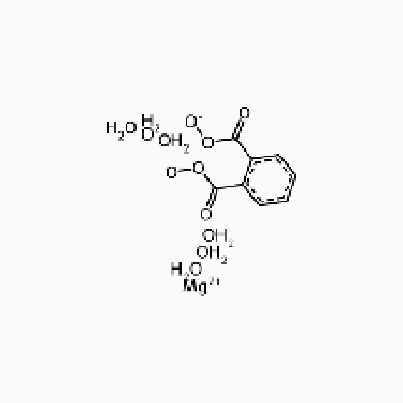 O.O.O.O.O.O.O=C(O[O-])c1ccccc1C(=O)O[O-].[Mg+2]